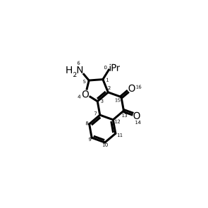 CC(C)C1C2=C(OC1N)c1ccccc1C(=O)C2=O